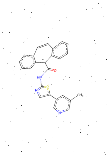 Cc1cncc(-c2cnc(NC(=O)C3c4ccccc4C=Cc4ccccc43)s2)c1